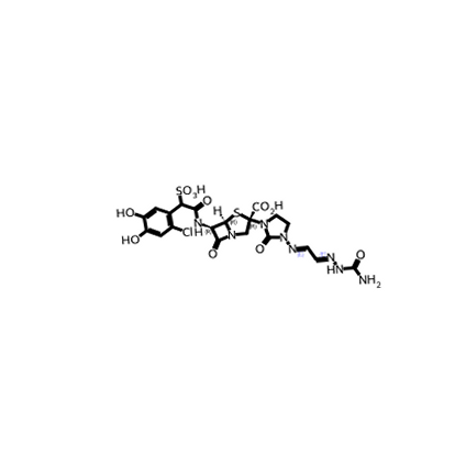 NC(=O)N/N=C/C=N/N1CCN([C@]2(C(=O)O)CN3C(=O)[C@@H](NC(=O)C(c4cc(O)c(O)cc4Cl)S(=O)(=O)O)[C@H]3S2)C1=O